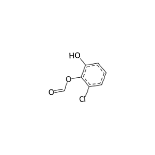 O=COc1c(O)cccc1Cl